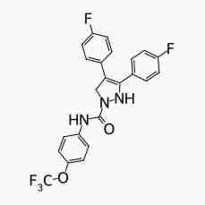 O=C(Nc1ccc(OC(F)(F)F)cc1)N1CC(c2ccc(F)cc2)=C(c2ccc(F)cc2)N1